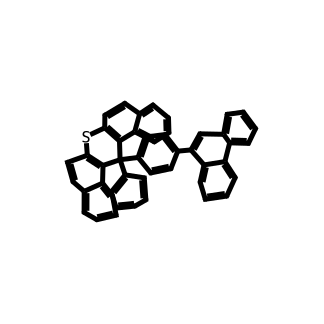 c1ccc(C2(c3ccc(-c4cc5ccccc5c5ccccc45)cc3)c3c(ccc4ccccc34)Sc3ccc4ccccc4c32)cc1